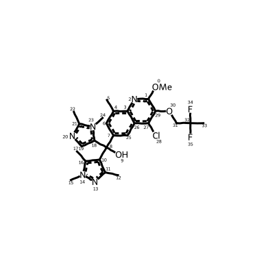 COc1nc2c(C)cc(C(O)(c3c(C)nn(C)c3C)c3cnc(C)n3C)cc2c(Cl)c1OCC(C)(F)F